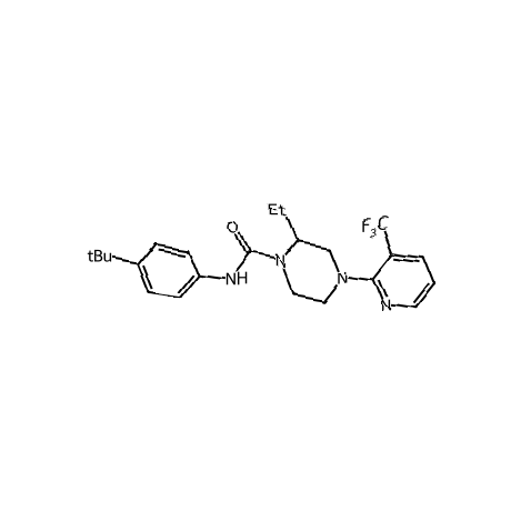 CCC1CN(c2ncccc2C(F)(F)F)CCN1C(=O)Nc1ccc(C(C)(C)C)cc1